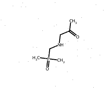 CC(=O)CNCP(C)(C)=O